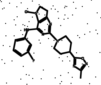 Cc1noc(C2CCN(c3nc4c(c(Nc5cccc(F)c5)n3)[S+]([O-])CC4)CC2)n1